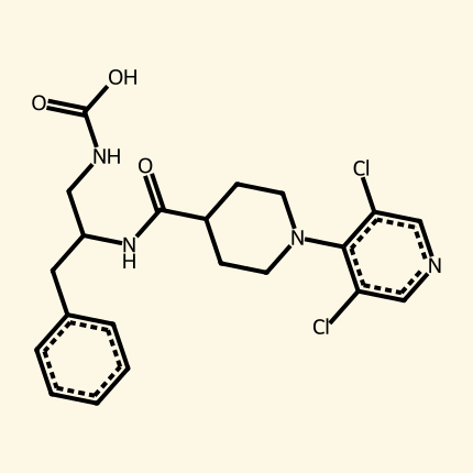 O=C(O)NCC(Cc1ccccc1)NC(=O)C1CCN(c2c(Cl)cncc2Cl)CC1